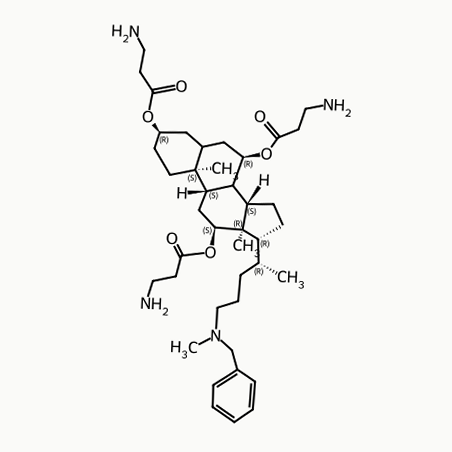 C[C@H](CCCN(C)Cc1ccccc1)[C@H]1CC[C@H]2C3[C@H](OC(=O)CCN)CC4C[C@H](OC(=O)CCN)CC[C@]4(C)[C@H]3C[C@H](OC(=O)CCN)[C@]12C